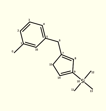 Cc1cccc(CC2=CC([Si](C)(C)C)=CC2)c1